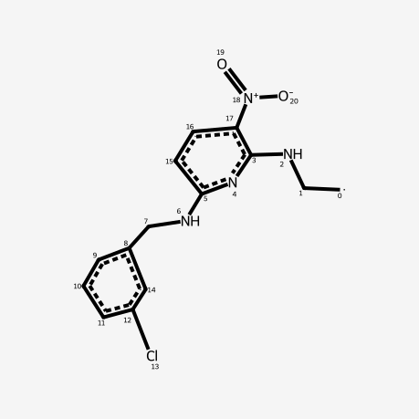 [CH2]CNc1nc(NCc2cccc(Cl)c2)ccc1[N+](=O)[O-]